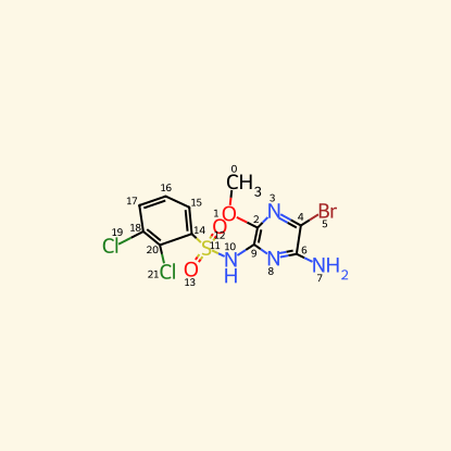 COc1nc(Br)c(N)nc1NS(=O)(=O)c1cccc(Cl)c1Cl